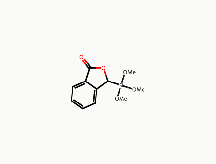 CO[Si](OC)(OC)C1OC(=O)c2ccccc21